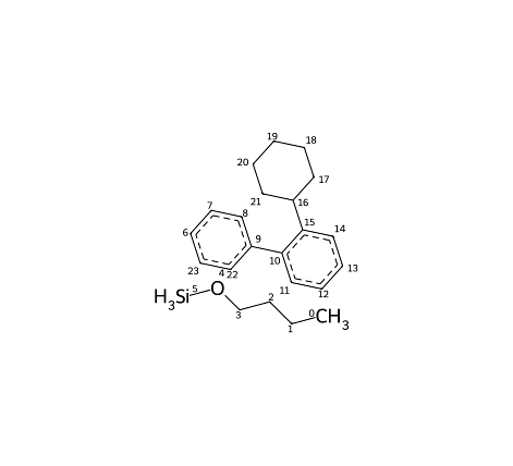 CCCCO[SiH3].c1ccc(-c2ccccc2C2CCCCC2)cc1